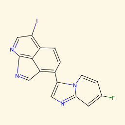 Fc1ccn2c(-c3ccc4c(I)cnc5c4c3C=N5)cnc2c1